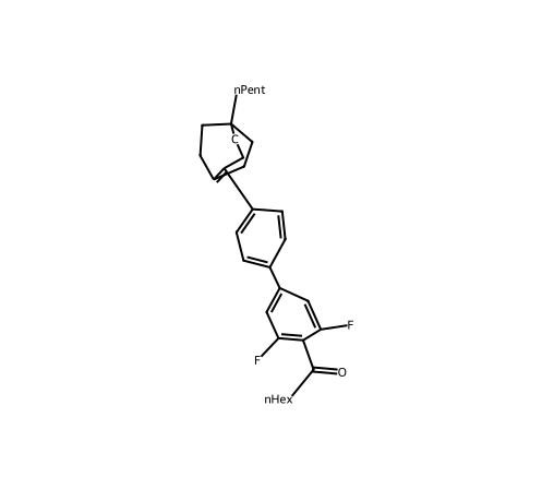 CCCCCCC(=O)c1c(F)cc(-c2ccc(C3=C4CCC(CCCCC)(CC4)CC3)cc2)cc1F